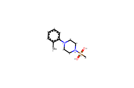 CC(C)(C)c1ccccc1N1CCN(S(C)(=O)=O)CC1